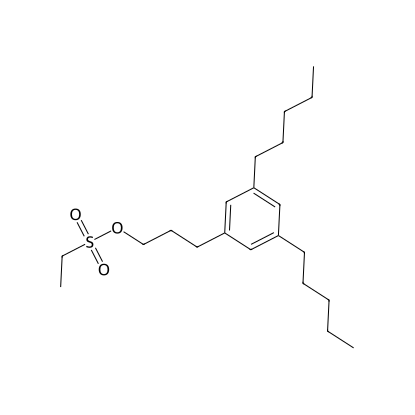 CCCCCc1cc(CCCCC)cc(CCCOS(=O)(=O)CC)c1